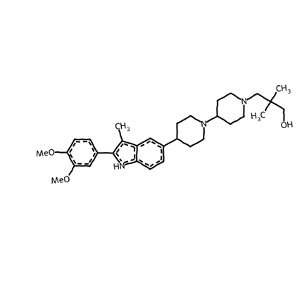 COc1ccc(-c2[nH]c3ccc(C4CCN(C5CCN(CC(C)(C)CO)CC5)CC4)cc3c2C)cc1OC